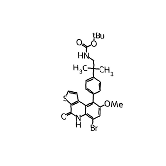 COc1cc(Br)c2[nH]c(=O)c3sccc3c2c1-c1ccc(C(C)(C)CNC(=O)OC(C)(C)C)cc1